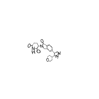 Cn1ncc(-c2ccc3c(c2)CN(C2CCC(=O)NC2=O)C3=O)c1C1CCOCC1